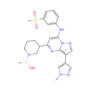 CB(O)N1CCCC(c2cc(Nc3cccc(S(C)(=O)=O)c3)n3ncc(-c4cnn(C)c4)c3n2)C1